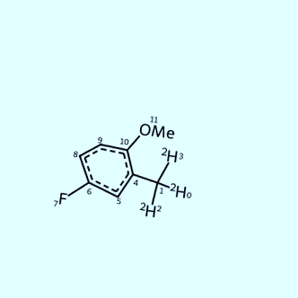 [2H]C([2H])([2H])c1cc(F)ccc1OC